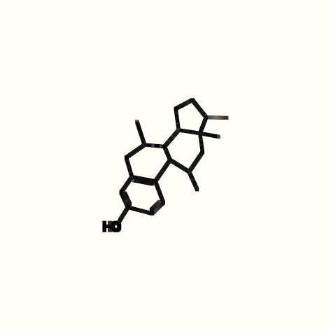 CC1CC2(C)C(C)CCC2C2C(C)Cc3cc(O)ccc3C12